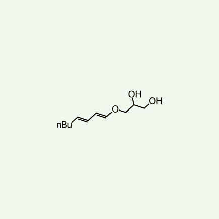 CCCCC=CC=COCC(O)CO